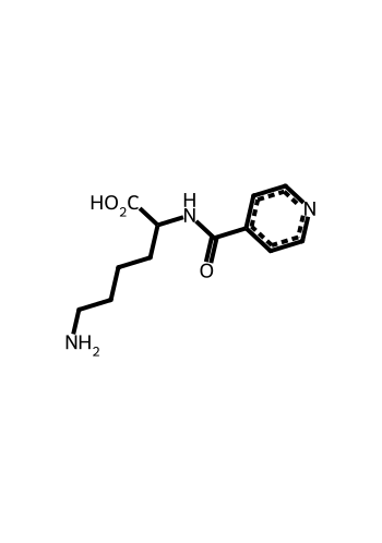 NCCCCC(NC(=O)c1ccncc1)C(=O)O